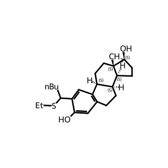 CCCCC(SCC)c1cc2c(cc1O)CC[C@H]1[C@@H]2CC[C@]2(C)[C@@H](O)CC[C@@H]12